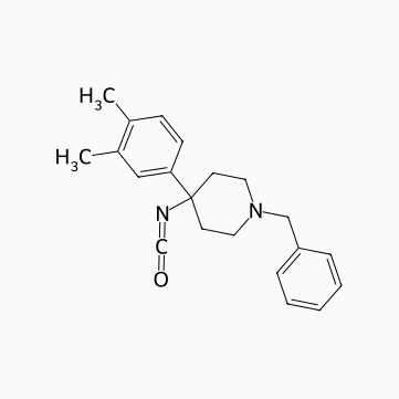 Cc1ccc(C2(N=C=O)CCN(Cc3ccccc3)CC2)cc1C